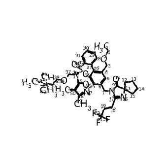 CCOCc1cc(CN2C(=O)C3(CCCC3)N=C2CCC(F)(F)F)ccc1-c1ccccc1S(=O)(=O)N(COCC[Si](C)(C)C)c1onc(C)c1C